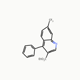 CCOC(=O)c1cnc2cc(C(F)(F)F)ccc2c1-c1ccccc1